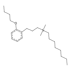 CCCCCCCC[Si](C)(C)CCCc1ccccc1OCCCC